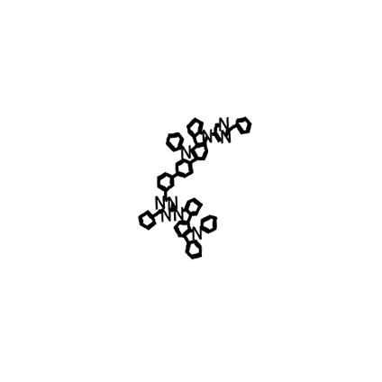 c1ccc(-c2ncc(-n3c4ccccc4c4c3ccc3c5ccc(-c6cccc(-c7nc(-c8ccccc8)nc(-n8c9ccccc9c9c8ccc8c%10ccccc%10n(-c%10ccccc%10)c89)n7)c6)cc5n(-c5ccccc5)c34)cn2)cc1